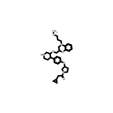 COCCCN1CC(COC2CNCCC2c2ccc(OC3CCN(C(=O)CC4CC4)C3)cc2)Oc2ccccc21